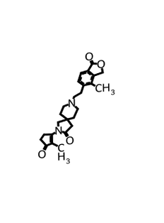 CC1=C(N2CC3(CCN(CCc4ccc5c(c4C)COC5=O)CC3)CC2=O)CCC1=O